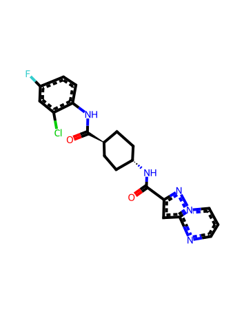 O=C(N[C@H]1CC[C@H](C(=O)Nc2ccc(F)cc2Cl)CC1)c1cc2ncccn2n1